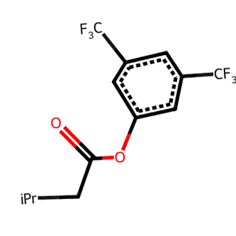 CC(C)CC(=O)Oc1cc(C(F)(F)F)cc(C(F)(F)F)c1